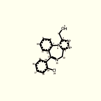 OCc1nnc2n1-c1ccccc1C(c1ccccc1Cl)=NC2